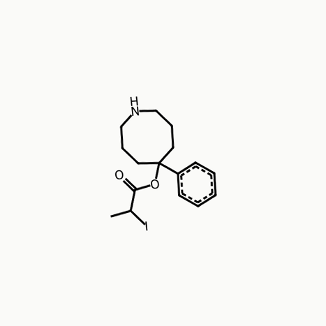 CC(I)C(=O)OC1(c2ccccc2)CCCNCCC1